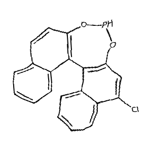 Clc1cc2o[pH]oc3ccc4ccccc4c3c2c2ccccc12